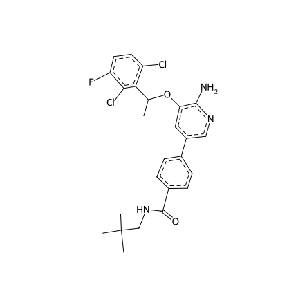 CC(Oc1cc(-c2ccc(C(=O)NCC(C)(C)C)cc2)cnc1N)c1c(Cl)ccc(F)c1Cl